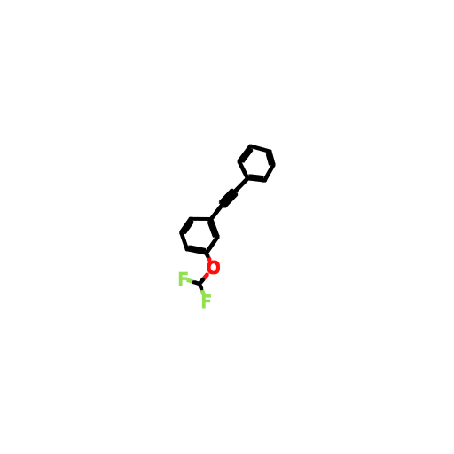 FC(F)Oc1cccc(C#Cc2ccccc2)c1